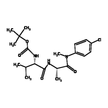 CC(C)[C@H](NC(=O)OC(C)(C)C)C(=O)N[C@@H](C)C(=O)N(C)c1ccc(Cl)cc1